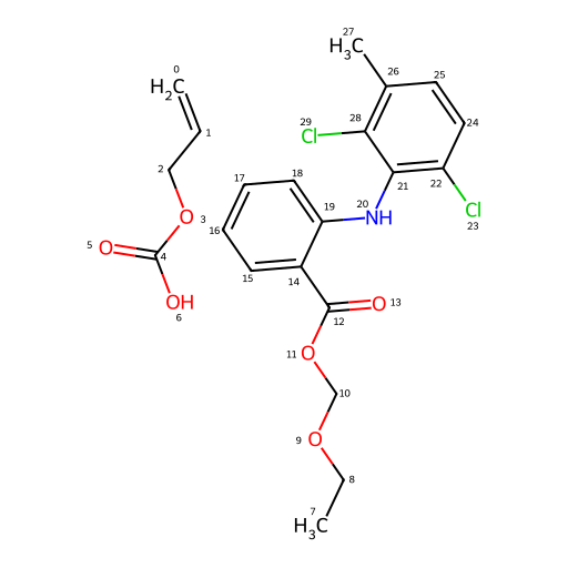 C=CCOC(=O)O.CCOCOC(=O)c1ccccc1Nc1c(Cl)ccc(C)c1Cl